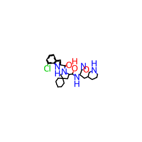 N#CC(CC1CCCNC1=O)NC(O)C1CC2(CCCCC2)CN1C(=O)c1cc2cccc(Cl)c2[nH]1